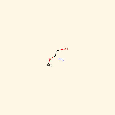 N.O=[N+]([O-])OCCO